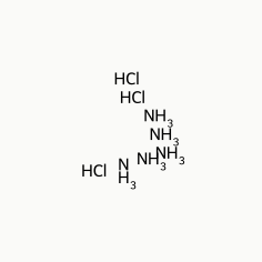 Cl.Cl.Cl.N.N.N.N.N